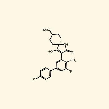 CO[C@H]1CC[C@]2(CC1)NC(=O)C(c1cc(-c3ccc(Cl)cc3)cc(F)c1C)=C2O